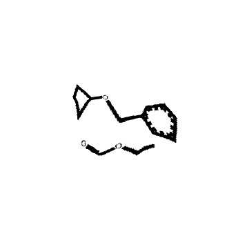 CCOC=O.c1ccc(COC2CCC2)cc1